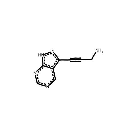 NCC#Cc1n[nH]c2ncncc12